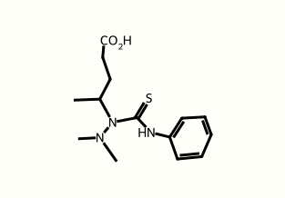 CC(CCC(=O)O)N(C(=S)Nc1ccccc1)N(C)C